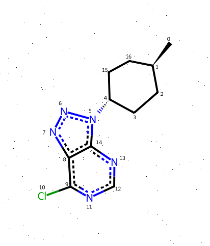 C[C@H]1CC[C@H](n2nnc3c(Cl)ncnc32)CC1